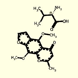 CC(C)[C@H](N)C(=O)O.COc1c2occc2c(OC)c2c(=O)cc(C)oc12